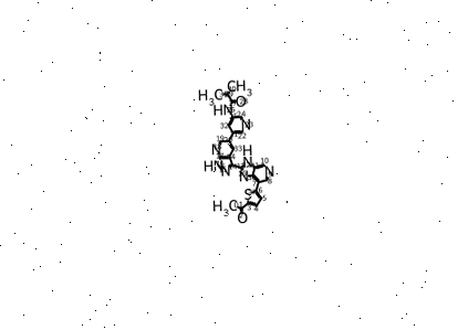 CC(=O)c1ccc(-c2cncc3[nH]c(-c4n[nH]c5ncc(-c6cncc(NC(=O)C(C)C)c6)cc45)nc23)s1